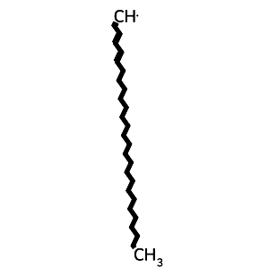 [CH]=C/C=C/C=C/CCCCCCCCCCCCCCCCCCCCC